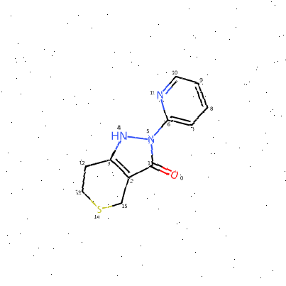 O=c1c2c([nH]n1-c1ccccn1)CCSC2